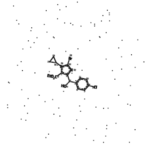 CCOC(=O)c1c(C(O)c2ccc(Cl)cc2)nc(Br)n1C1CC1